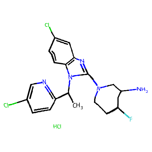 CC(c1ccc(Cl)cn1)n1c(N2CCC(F)C(N)C2)nc2cc(Cl)ccc21.Cl